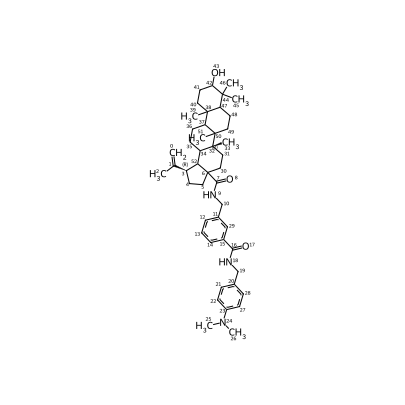 C=C(C)[C@@H]1CCC2(C(=O)NCc3cccc(C(=O)NCc4ccc(N(C)C)cc4)c3)CC[C@]3(C)C(CCC4C5(C)CCC(O)C(C)(C)C5CCC43C)C12